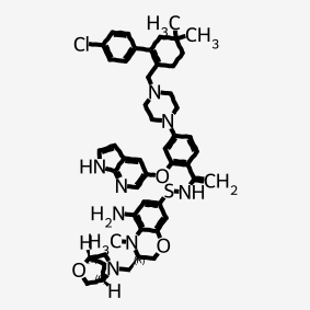 C=C(NSc1cc(N)c2c(c1)OC[C@@H](CN1C[C@@H]3C[C@H]1CO3)N2C)c1ccc(N2CCN(CC3=C(c4ccc(Cl)cc4)CC(C)(C)CC3)CC2)cc1Oc1cnc2[nH]ccc2c1